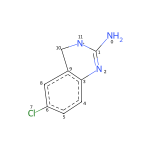 NC1=Nc2ccc(Cl)cc2C[N]1